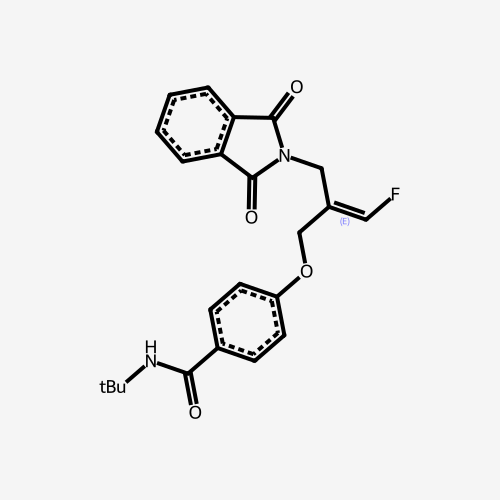 CC(C)(C)NC(=O)c1ccc(OC/C(=C/F)CN2C(=O)c3ccccc3C2=O)cc1